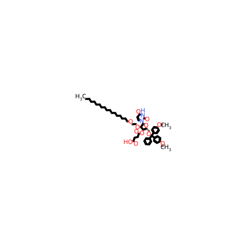 CCCCCCCCCCCCCCCCCCOCCOC1C(OC(=O)CCC(=O)O)[C@@H](COC(c2ccccc2)(c2ccc(OC)cc2)c2ccc(OC)cc2)O[C@H]1n1ccc(=O)[nH]c1=O